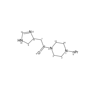 CCCN1CCN(C(=O)CC2CNC=N2)CC1